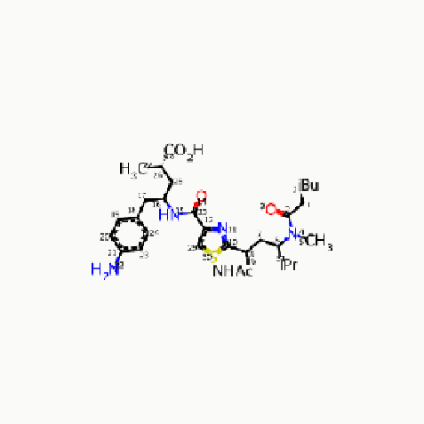 CC[C@H](C)CC(=O)N(C)[C@H](CC(NC(C)=O)c1nc(C(=O)N[C@@H](Cc2ccc(N)cc2)C[C@H](C)C(=O)O)cs1)C(C)C